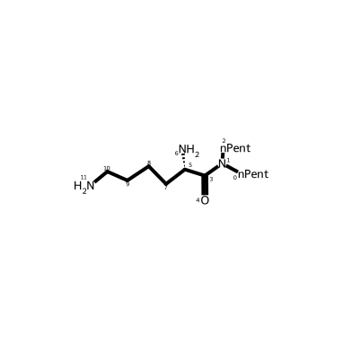 CCCCCN(CCCCC)C(=O)[C@@H](N)CCCCN